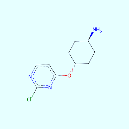 N[C@H]1CC[C@H](Oc2ccnc(Cl)n2)CC1